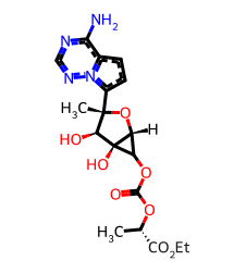 CCOC(=O)[C@H](C)OC(=O)OC1[C@H]2O[C@@](C)(c3ccc4c(N)ncnn34)[C@H](O)[C@@]12O